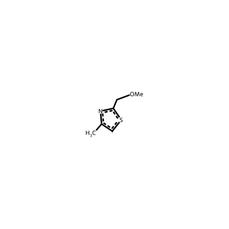 COCc1nc(C)[c]s1